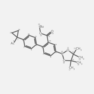 CC(=O)C1(c2ccc(-c3ccc(B4OC(C)(C)C(C)(C)O4)cc3C(=O)OC(C)(C)C)cc2)CC1